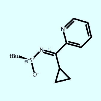 CC(C)(C)[S@+]([O-])/N=C(/c1ccccn1)C1CC1